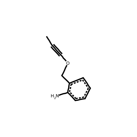 CC#COCc1ccccc1N